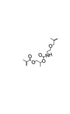 C=C(C)COCCNC(=O)OC(C)COC(=O)C(=C)C